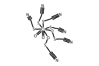 N#CS[O][Cr](=[O])(=[O])([O]SC#N)([S]C#N)([S]C#N)([S]C#N)[S]C#N